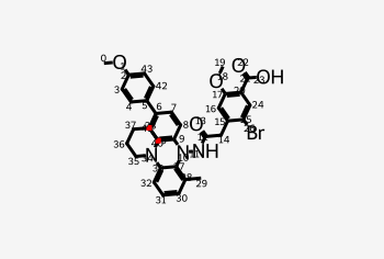 COc1ccc(-c2ccc(N(NC(=O)Cc3cc(OC)c(C(=O)O)cc3Br)c3c(C)cccc3N3CCCCC3)cc2)cc1